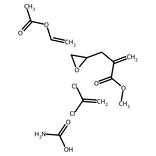 C=C(CC1CO1)C(=O)OC.C=C(Cl)Cl.C=COC(C)=O.NC(=O)O